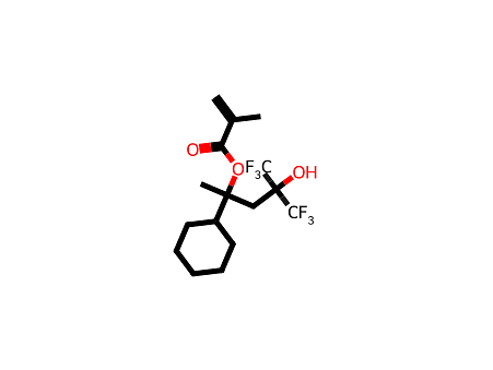 C=C(C)C(=O)OC(C)(CC(O)(C(F)(F)F)C(F)(F)F)C1CCCCC1